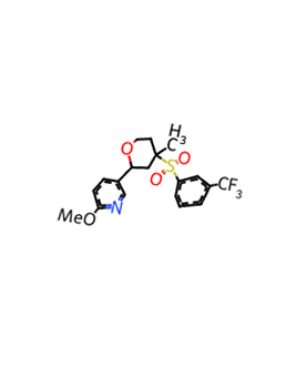 COc1ccc(C2CC(C)(S(=O)(=O)c3cccc(C(F)(F)F)c3)CCO2)cn1